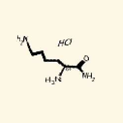 Cl.NCCCC[C@H](N)C(N)=O